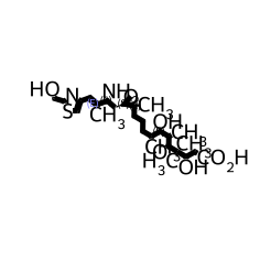 C/C(=C\c1csc(CO)n1)[C@@H](N)C[C@@H]1O[C@]1(C)CCCC(C)[C@H](O)C(C)C(=O)C(C)(C)C(O)CC(=O)O